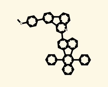 COc1ccc(-c2ccc3c(c2)-c2cc(-c4ccc5c6c(cccc46)-c4c-5c(-c5ccccc5)c5ccccc5c4-c4ccccc4)nc4cccc-3c24)cc1